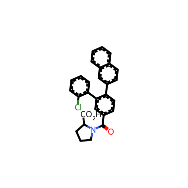 O=C(O)C1CCCN1C(=O)c1ccc(-c2ccc3ccccc3c2)c(-c2ccccc2Cl)c1